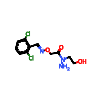 NN(CCO)C(=O)CON=Cc1c(Cl)cccc1Cl